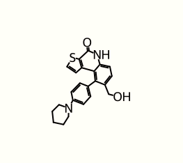 O=c1[nH]c2ccc(CO)c(-c3ccc(N4CCCCC4)cc3)c2c2ccsc12